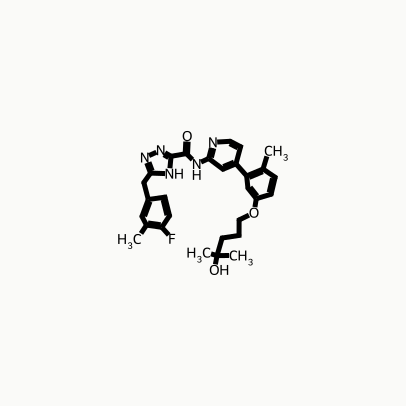 Cc1cc(Cc2nnc(C(=O)Nc3cc(-c4cc(OCCCC(C)(C)O)ccc4C)ccn3)[nH]2)ccc1F